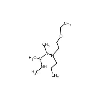 [CH2]CCN(CCOCC)N(C)N(C)NC